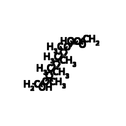 [CH2]C(O)COc1ccc(C(C)(C)c2ccc(C(C)(C)c3ccc(OCC(O)COC(=O)C=C)c(C)c3)cc2)cc1C